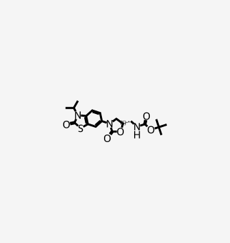 CC(C)n1c(=O)sc2cc(N3C[C@H](CNC(=O)OC(C)(C)C)OC3=O)ccc21